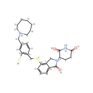 O=C1CCC(N2Cc3c(SCc4ccc(CN5CCCCCCC5)cc4F)cccc3C2=O)C(=O)N1